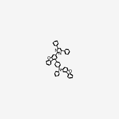 c1ccc(-c2cc(-c3ccccc3)nc(-c3cc(-c4ccc(N(c5ccccc5)c5ccc6oc7ccccc7c6c5)cc4)c4c(c3)oc3ccccc34)n2)cc1